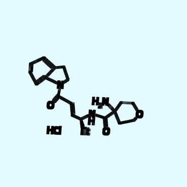 CC[C@@H](/C=C/C(=O)N1CCc2ccccc21)NC(=O)C1(N)CCOCC1.Cl